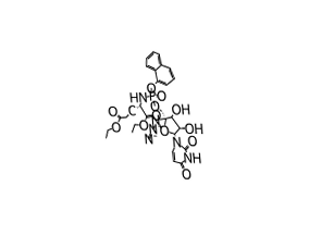 CCOC(=O)CC[C@H](NP(=O)(OC[C@@]1(N=[N+]=[N-])O[C@@H](n2ccc(=O)[nH]c2=O)[C@H](O)[C@@H]1O)Oc1cccc2ccccc12)C(=O)OCC